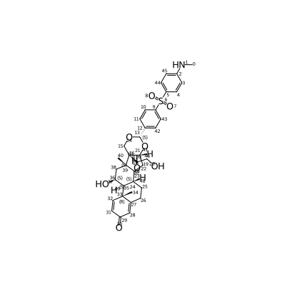 CNc1ccc(S(=O)(=O)c2ccc([C@H]3OC[C@]4(C(=O)CO)[C@@H](C[C@H]5[C@@H]6CCC7=CC(=O)C=C[C@]7(C)[C@H]6[C@@H](O)C[C@@]54C)O3)cc2)cc1